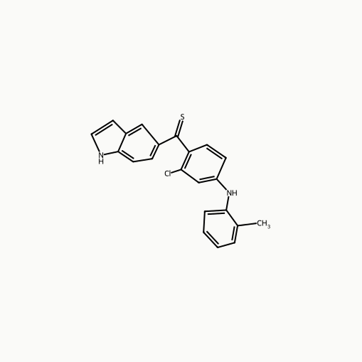 Cc1ccccc1Nc1ccc(C(=S)c2ccc3[nH]ccc3c2)c(Cl)c1